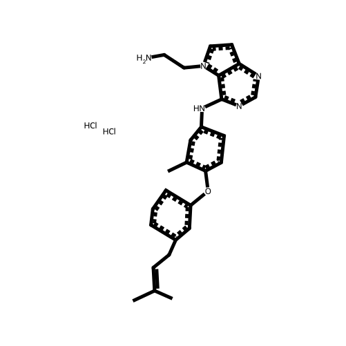 CC(C)=CCc1cccc(Oc2ccc(Nc3ncnc4ccn(CCN)c34)cc2C)c1.Cl.Cl